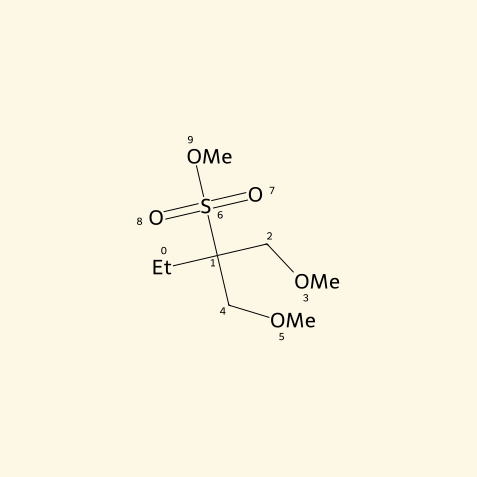 CCC(COC)(COC)S(=O)(=O)OC